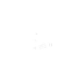 C#C.Cl.[Cu]